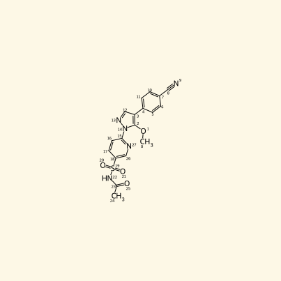 COc1c(-c2ccc(C#N)cc2)cnn1-c1ccc(S(=O)(=O)NC(C)=O)cn1